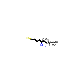 CO[Si](CCC(N)CCCCS)(OC)OC